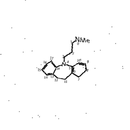 CNCCCN1C2=C(CCC=C2)CCc2ccccc21